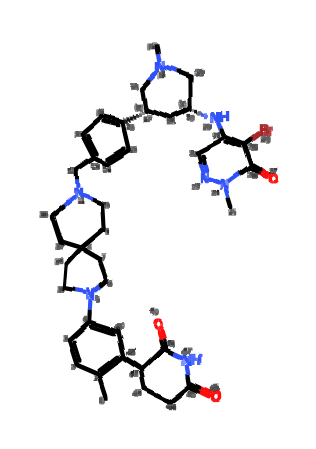 Cc1ccc(N2CCC3(CCN(Cc4ccc([C@H]5C[C@@H](Nc6cnn(C)c(=O)c6Br)CN(C)C5)cc4)CC3)CC2)cc1C1CCC(=O)NC1=O